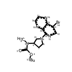 CN(C(=O)OC(C)(C)C)C1CCN(c2ncc(Br)c3nccnc23)C1